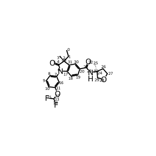 CC[C@@]1(C)C(=O)N(c2cccc(OC(F)F)c2)c2ccc(C(=O)N[C@@]3(C)CCOC3)cc21